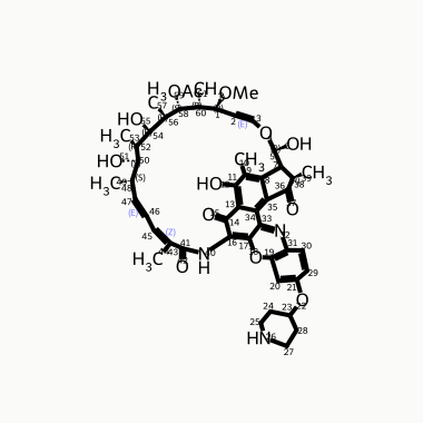 CO[C@H]1/C=C/O[C@@H](O)C2c3c(C)c(O)c4c(=O)c(c5oc6cc(OC7CCNCC7)ccc6nc-5c4c3C(=O)[C@@H]2C)NC(=O)/C(C)=C\C=C\[C@H](C)[C@H](O)[C@@H](C)[C@@H](O)[C@@H](C)[C@H](OC(C)=O)[C@@H]1C